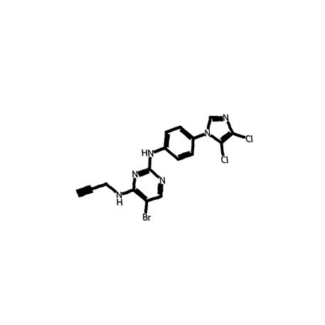 C#CCNc1nc(Nc2ccc(-n3cnc(Cl)c3Cl)cc2)ncc1Br